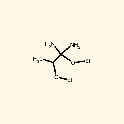 CCOC(C)C(N)(N)OCC